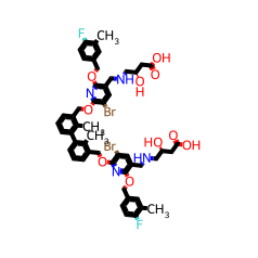 Cc1cc(COc2nc(OCc3cccc(-c4cccc(COc5nc(OCc6ccc(F)c(C)c6)c(CNC[C@@H](O)CC(=O)O)cc5Br)c4C)c3C)c(Br)cc2CNC[C@@H](O)CC(=O)O)ccc1F